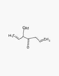 C=C[CH]C(=O)C(O)C=C